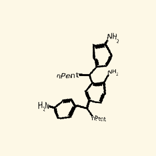 CCCCCC(c1ccc(N)cc1)c1ccc(N)c(C(CCCCC)c2ccc(N)cc2)c1